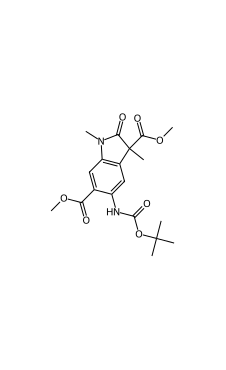 COC(=O)c1cc2c(cc1NC(=O)OC(C)(C)C)C(C)(C(=O)OC)C(=O)N2C